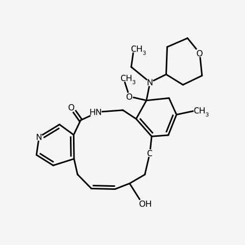 CCN(C1CCOCC1)C1(OC)CC(C)=CC2=C1CNC(=O)c1cnccc1CC=CC(O)CC2